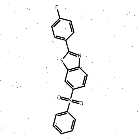 O=S(=O)(c1ccccc1)c1ccc2nc(-c3ccc(F)cc3)sc2c1